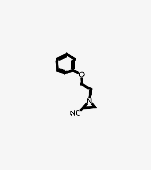 N#CC1CN1CCOc1ccccc1